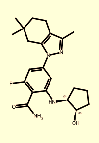 Cc1nn(-c2cc(F)c(C(N)=O)c(N[C@H]3CCC[C@H]3O)c2)c2c1CCC(C)(C)C2